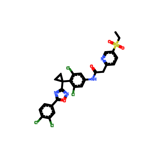 CCS(=O)(=O)c1ccc(CC(=O)Nc2cc(Cl)c(C3(c4noc(-c5ccc(Cl)c(Cl)c5)n4)CC3)c(Cl)c2)nc1